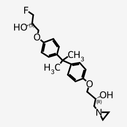 CC(C)(c1ccc(OC[C@H](O)CF)cc1)c1ccc(OC[C@H](O)CN2CC2)cc1